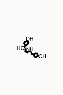 Oc1ccc(CC[C@H]2CC[C@@H](C(O)c3ccc(O)cc3)N2)cc1